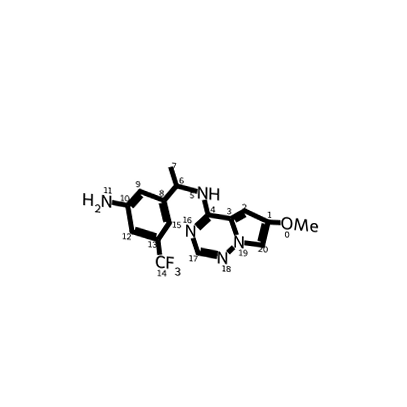 COc1cc2c(NC(C)c3cc(N)cc(C(F)(F)F)c3)ncnn2c1